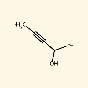 [CH2]C#CC(O)C(C)C